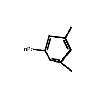 CCCc1cc(C)cc(C)c1